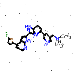 CN(C)Cc1cncc(-c2ccc3[nH]nc(-c4cc5c(-c6ccc(F)s6)ccnc5[nH]4)c3n2)c1